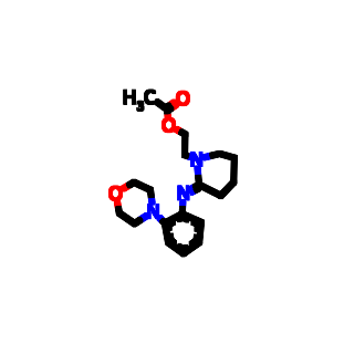 CC(=O)OCCN1CCCC/C1=N\c1ccccc1N1CCOCC1